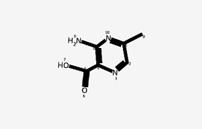 Cc1cnc(C(=O)O)c(N)n1